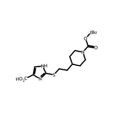 CC(C)(C)OC(=O)N1CCC(CCSc2nc(C(=O)O)c[nH]2)CC1